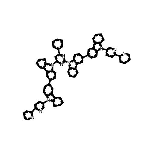 c1ccc(-c2cc(-n3c4ccccc4c4cc(-c5ccc6c(c5)c5ccccc5n6-c5ccc(-c6ccccn6)nc5)ccc43)nc(-n3c4ccccc4c4cc(-c5ccc6c(c5)c5ccccc5n6-c5ccc(-c6ccccn6)nc5)ccc43)n2)cc1